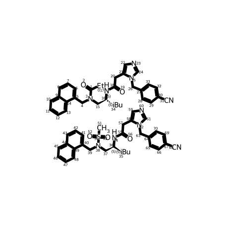 CCC(=O)N(Cc1cccc2ccccc12)C[C@@H](NC(=O)Cc1cncn1Cc1ccc(C#N)cc1)[C@@H](C)CC.CC[C@H](C)[C@@H](CN(Cc1cccc2ccccc12)S(C)(=O)=O)NC(=O)Cc1cncn1Cc1ccc(C#N)cc1